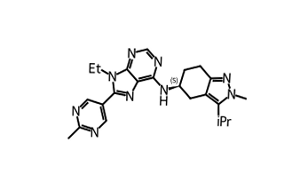 CCn1c(-c2cnc(C)nc2)nc2c(N[C@H]3CCc4nn(C)c(C(C)C)c4C3)ncnc21